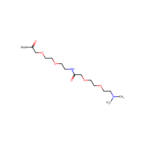 CNC(=O)COCCOCCNC(=O)COCCOCCN(C)C